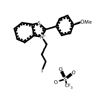 COc1ccc(-c2sc3ccccc3[n+]2CCCI)cc1.O=S(=O)([O-])C(F)(F)F